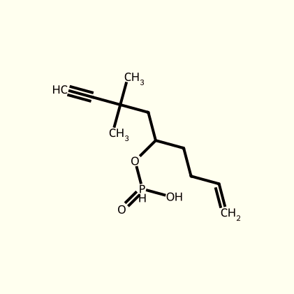 C#CC(C)(C)CC(CCC=C)O[PH](=O)O